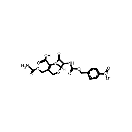 NC(=O)OCC1=C(C(=O)O)N2C(=O)C(NC(=O)OCc3ccc([N+](=O)[O-])cc3)[C@H]2SC1